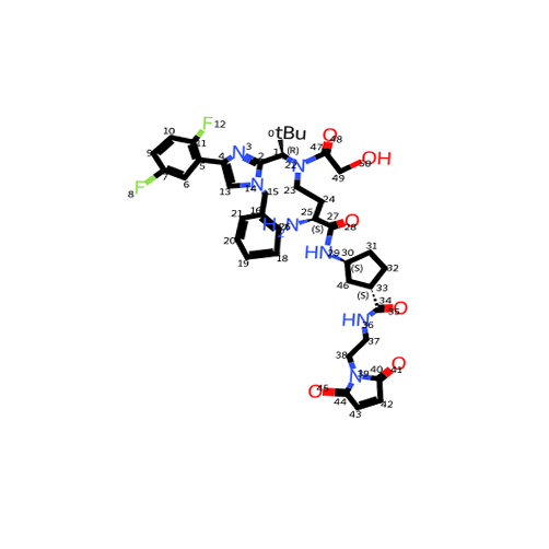 CC(C)(C)[C@H](c1nc(-c2cc(F)ccc2F)cn1Cc1ccccc1)N(CC[C@H](N)C(=O)N[C@H]1CC[C@H](C(=O)NCCN2C(=O)C=CC2=O)C1)C(=O)CO